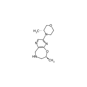 C[C@@H]1COCCN1c1cnc2c(n1)O[C@@H](C)CNC2